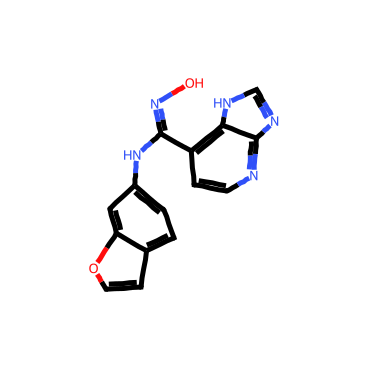 O/N=C(/Nc1ccc2ccoc2c1)c1ccnc2nc[nH]c12